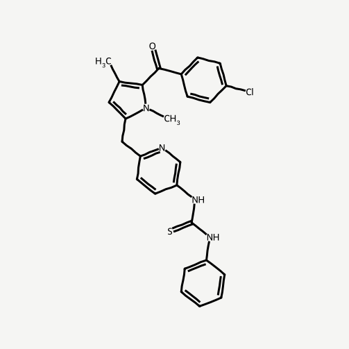 Cc1cc(Cc2ccc(NC(=S)Nc3ccccc3)cn2)n(C)c1C(=O)c1ccc(Cl)cc1